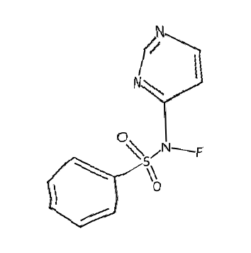 O=S(=O)(c1ccccc1)N(F)c1ccncn1